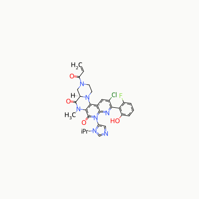 C=CC(=O)N1CCN2c3c(c(=O)n(-c4cncn4C(C)C)c4nc(-c5c(O)cccc5F)c(Cl)cc34)N(C)C(=O)[C@H]2C1